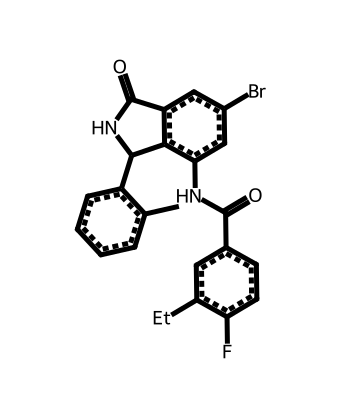 CCc1cc(C(=O)Nc2cc(Br)cc3c2C(c2ccccc2C)NC3=O)ccc1F